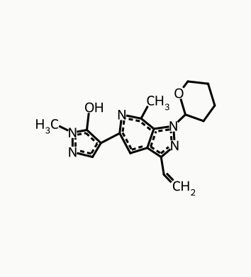 C=Cc1nn(C2CCCCO2)c2c(C)nc(-c3cnn(C)c3O)cc12